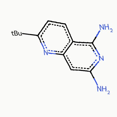 CC(C)(C)c1ccc2c(N)nc(N)cc2n1